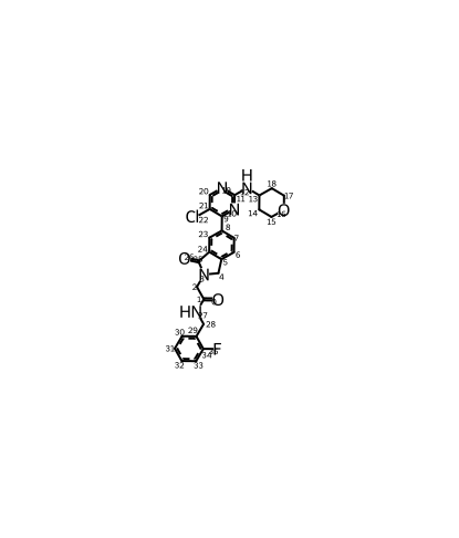 O=C(CN1Cc2ccc(-c3nc(NC4CCOCC4)ncc3Cl)cc2C1=O)NCc1ccccc1F